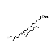 CCCC=CC(=O)O.CCCCCCCCCCCCCCCCCCCCCC(=O)O